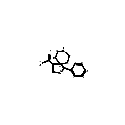 NC(=O)C1CNC(c2ccccc2)C12CCNCC2